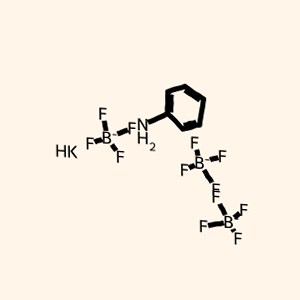 F[B-](F)(F)F.F[B-](F)(F)F.F[B-](F)(F)F.Nc1ccccc1.[KH]